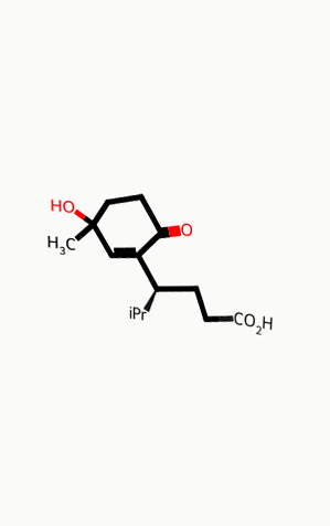 CC(C)[C@H](CCC(=O)O)C1=CC(C)(O)CCC1=O